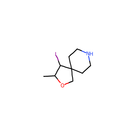 CC1OCC2(CCNCC2)C1I